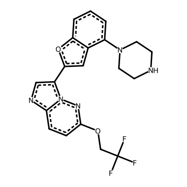 FC(F)(F)COc1ccc2ncc(-c3cc4c(N5CCNCC5)cccc4o3)n2n1